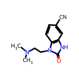 CN(C)CCn1c(=O)[nH]c2cc(C#N)ccc21